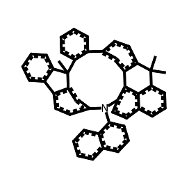 CC1(C)c2ccc3cc2-c2c(ccc4cccc1c24)N(c1cccc2ccccc12)c1ccc2c(c1)C(C)(c1ccccc1-3)c1ccccc1-2